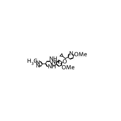 COc1ccc(C(Oc2ccc(CC3(N)NC=C(c4cnn(C)c4)C=C3N)cc2OC)C2CC2)cn1